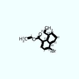 C=COC(=O)c1ccc(Br)c2cccc(C=C)c12